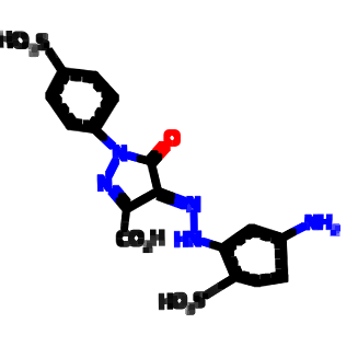 Nc1ccc(S(=O)(=O)O)c(N/N=C2/C(=O)N(c3ccc(S(=O)(=O)O)cc3)N=C2C(=O)O)c1